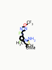 COC[C@@]1(C)C[C@@](C)(c2cc(/C=C(\F)c3cnc(OCC(F)(F)F)cn3)ccc2F)N=C(N)S1